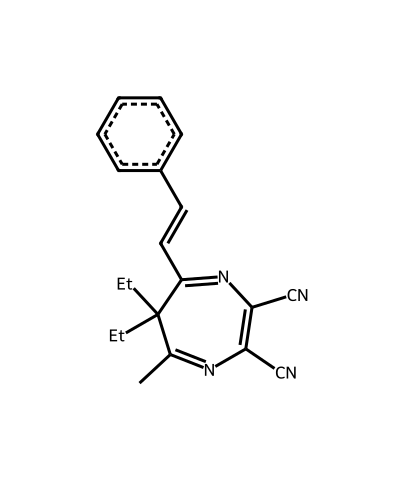 CCC1(CC)C(C)=NC(C#N)=C(C#N)N=C1C=Cc1ccccc1